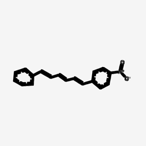 O=[N+]([O-])c1ccc(/C=C/C=C/C=C/c2ccccc2)cc1